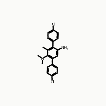 Cc1c(-c2ccc(Cl)cc2)c(N)cc(-c2ccc(Cl)cc2)c1N(C)C